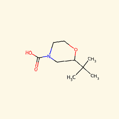 CC(C)(C)C1CN(C(=O)O)CCO1